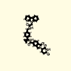 O=C(Cn1c2ccccc2c2cccnc21)NCc1ccc(C2(NC(=O)c3ccc4c(c3)CN(C3CCC(=O)NC3=O)C4=O)CC2)cc1